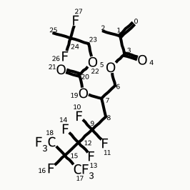 C=C(C)C(=O)OCC(CC(F)(F)C(F)(F)C(F)(C(F)(F)F)C(F)(F)F)OC(=O)OCC(C)(F)F